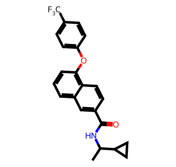 CC(NC(=O)c1ccc2c(Oc3ccc(C(F)(F)F)cc3)cccc2c1)C1CC1